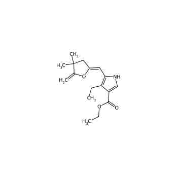 C=C1OC(=Cc2[nH]cc(C(=O)OCC)c2CC)CC1(C)C